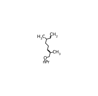 C=CC(C)CCC=C(C)COCCC